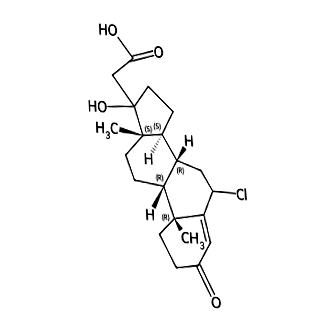 C[C@]12CCC(=O)C=C1C(Cl)C[C@@H]1[C@H]2CC[C@@]2(C)[C@H]1CCC2(O)CC(=O)O